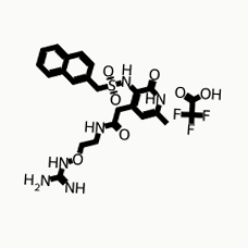 Cc1cc(CC(=O)NCCONC(=N)N)c(NS(=O)(=O)Cc2ccc3ccccc3c2)c(=O)[nH]1.O=C(O)C(F)(F)F